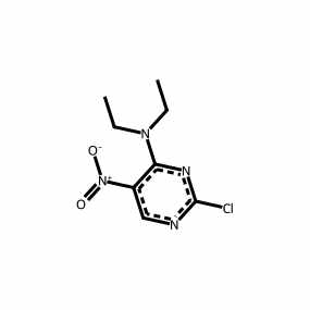 CCN(CC)c1nc(Cl)ncc1[N+](=O)[O-]